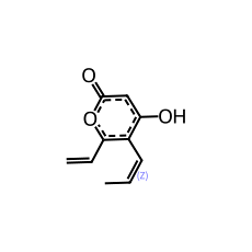 C=Cc1oc(=O)cc(O)c1/C=C\C